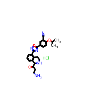 CC(C)Oc1ccc(-c2nc(-c3cccc4c3CCNC4C(=O)CCN)no2)cc1C#N.Cl